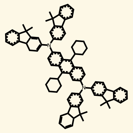 CC1(C)C2=CC(N(c3ccc4c(c3)C(C)(C)c3ccccc3-4)c3ccc4c(C5CCCCC5)c5cc(N(c6ccc7c(c6)C(C)(C)c6ccccc6-7)c6ccc7c(c6)C(C)(C)C6C=CC=CC76)ccc5c(C5CCCCC5)c4c3)=CCC2c2ccccc21